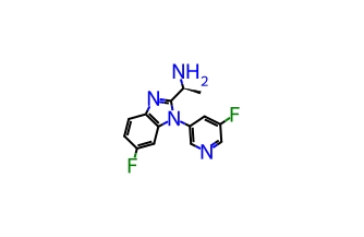 C[C@H](N)c1nc2ccc(F)cc2n1-c1cncc(F)c1